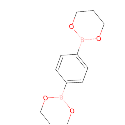 c1cc(B2OCCCO2)ccc1B1OCCCO1